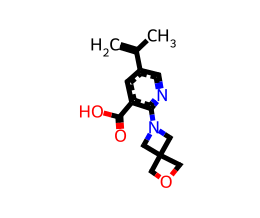 C=C(C)c1cnc(N2CC3(COC3)C2)c(C(=O)O)c1